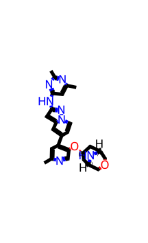 Cc1cc(-c2ccn3nc(Nc4cc(C)nc(C)n4)cc3c2)c(O[C@H]2C[C@H]3COC[C@@H](C2)N3)cn1